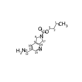 CCCCOC(=O)N1Cc2cc(CN)cnc2C1